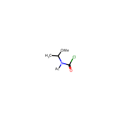 COC(C)N(C(C)=O)C(=O)Cl